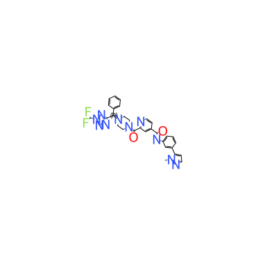 Cn1nccc1-c1ccc2oc(-c3ccnc(C(=O)N4CCN([C@H](c5ccccc5)c5nnn(C(F)F)n5)CC4)c3)nc2c1